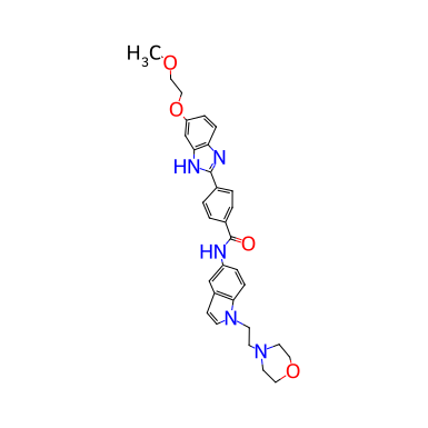 COCCOc1ccc2nc(-c3ccc(C(=O)Nc4ccc5c(ccn5CCN5CCOCC5)c4)cc3)[nH]c2c1